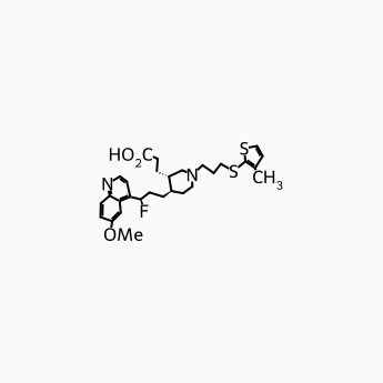 COc1ccc2nccc([C@H](F)CC[C@@H]3CCN(CCCSc4sccc4C)C[C@H]3CCC(=O)O)c2c1